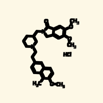 COc1cc2c(cc1OC)C(=O)N(CC1CCCN(CCc3ccc4c(C)c(OC)ccc4c3)C1)C2.Cl